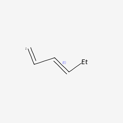 [C]=C/C=C/CC